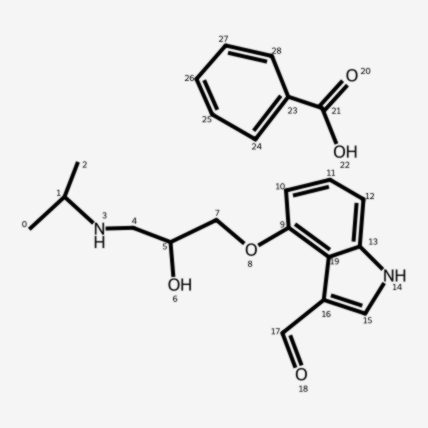 CC(C)NCC(O)COc1cccc2[nH]cc(C=O)c12.O=C(O)c1ccccc1